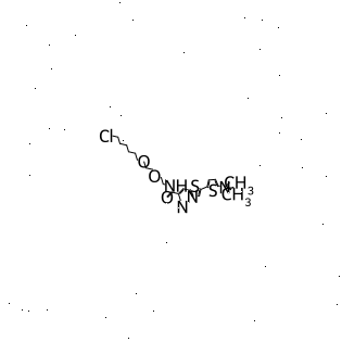 CN(C)c1ccc(-c2cnc(/C=C(\C#N)C(=O)NCCOCCOCCCCCCCl)s2)s1